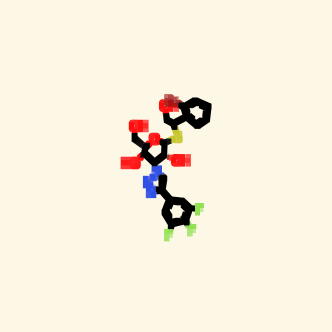 OCC(S[C@@H]1O[C@H](CO)[C@H](O)[C@H](n2cc(-c3cc(F)c(F)c(F)c3)nn2)[C@H]1O)c1ccccc1Br